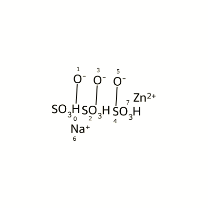 O=S(=O)([O-])O.O=S(=O)([O-])O.O=S(=O)([O-])O.[Na+].[Zn+2]